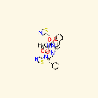 COC(=O)N(c1cncs1)[C@@H](Cc1ccccc1)CN(CC(C)C)C[C@@H](Cc1ccccc1)NC(=O)OCc1cncs1